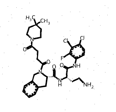 CC1(C)CCN(C(=O)CCC(=O)N2Cc3ccccc3C[C@H]2C(=O)N[C@@H](CCN)C(=O)Nc2ccc(Cl)c(Cl)c2F)CC1